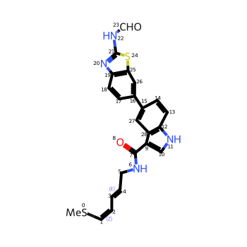 CS/C=C\C=C\CNC(=O)c1c[nH]c2ccc(-c3ccc4nc(NC=O)sc4c3)cc12